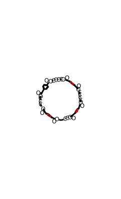 O=C1OCCCCOC(=O)c2ccc(cc2)C(=O)OCCCCOC(=O)c2ccc(cc2)C(=O)OCCCCOC(=O)c2ccc(cc2)C(=O)OCCCCOC(=O)c2ccc1cc2